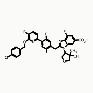 CC1(C)COCC1n1c(Cc2cc(F)c(-c3ccc(F)c(OCc4ccc(Cl)cc4)n3)cc2F)nc2c(F)cc(C(=O)O)cc21